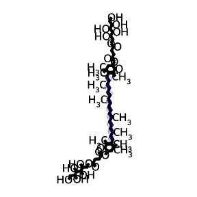 CC1=C(/C=C/C(C)=C/C=C/C(C)=C/C=C/C=C(C)/C=C/C=C(C)/C=C/C2=C(C)C(=O)C(OC(=O)CCC(=O)OCC(O)C(O)C(O)C(O)CO)CC2(C)C)C(C)(C)CC(OC(=O)CCC(=O)OCC(O)C(O)C(O)C(O)CO)C1=O